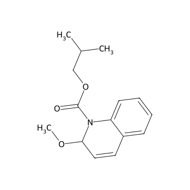 COC1C=Cc2ccccc2N1C(=O)OCC(C)C